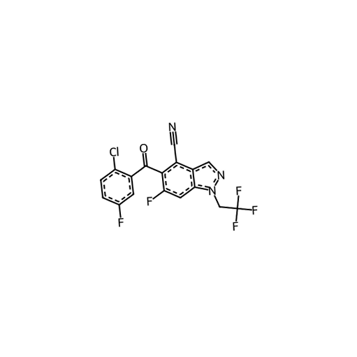 N#Cc1c(C(=O)c2cc(F)ccc2Cl)c(F)cc2c1cnn2CC(F)(F)F